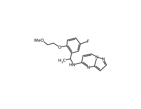 COCCOc1ccc(F)cc1C(C)Nc1ccn2nccc2n1